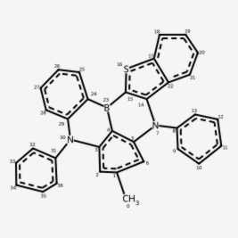 Cc1cc2c3c(c1)N(c1ccccc1)c1c(sc4ccccc14)B3c1ccccc1N2c1ccccc1